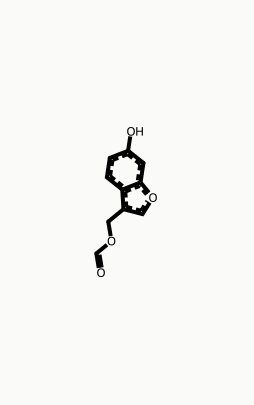 O=COCc1coc2cc(O)ccc12